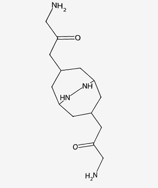 NCC(=O)CC1CC2CC(CC(=O)CN)CC(C1)NN2